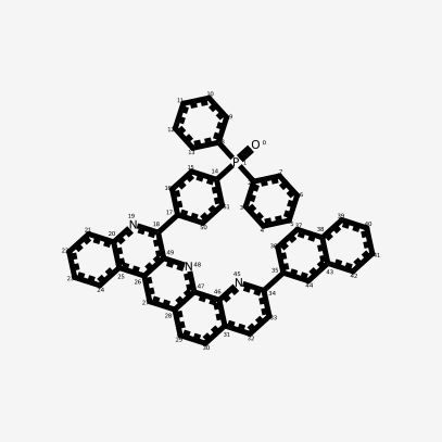 O=P(c1ccccc1)(c1ccccc1)c1ccc(-c2nc3ccccc3c3cc4ccc5ccc(-c6ccc7ccccc7c6)nc5c4nc23)cc1